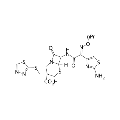 CCCON=C(C(=O)NC1C(=O)N2CC(CSc3nncs3)(C(=O)O)CS[C@H]12)c1csc(N)n1